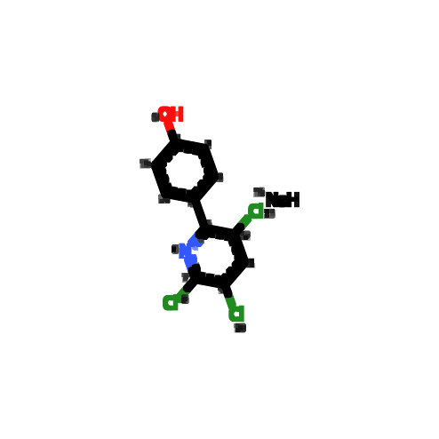 Oc1ccc(-c2nc(Cl)c(Cl)cc2Cl)cc1.[NaH]